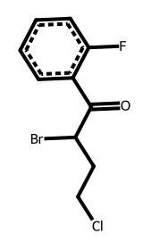 O=C(c1ccccc1F)C(Br)CCCl